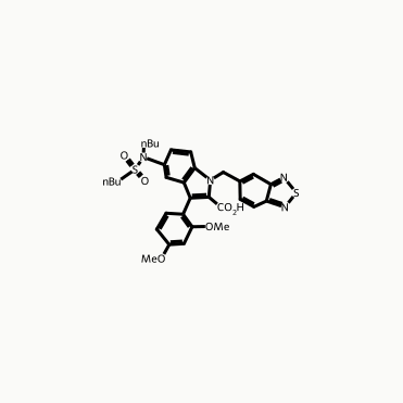 CCCCN(c1ccc2c(c1)c(-c1ccc(OC)cc1OC)c(C(=O)O)n2Cc1ccc2nsnc2c1)S(=O)(=O)CCCC